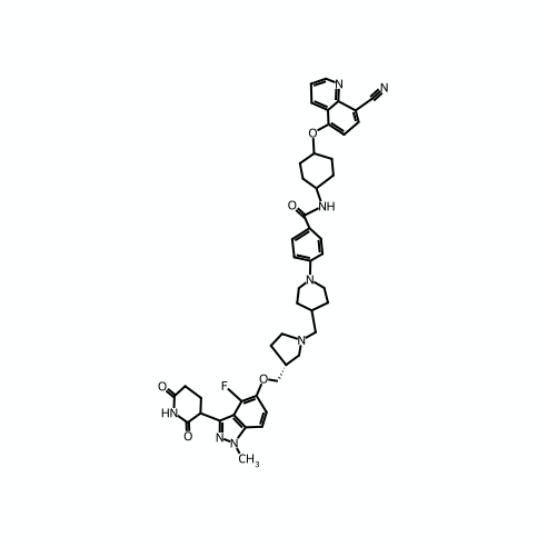 Cn1nc(C2CCC(=O)NC2=O)c2c(F)c(OC[C@@H]3CCN(CC4CCN(c5ccc(C(=O)NC6CCC(Oc7ccc(C#N)c8ncccc78)CC6)cc5)CC4)C3)ccc21